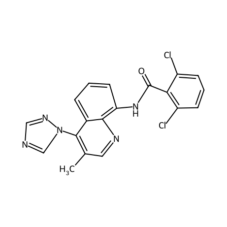 Cc1cnc2c(NC(=O)c3c(Cl)cccc3Cl)cccc2c1-n1cncn1